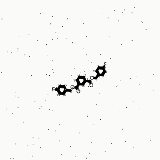 O=C(OCc1ccc(F)cc1)c1cccc(C(=O)OCc2ccc(F)cc2)c1